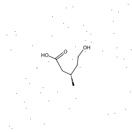 C[C@H](CCO)CC(=O)O